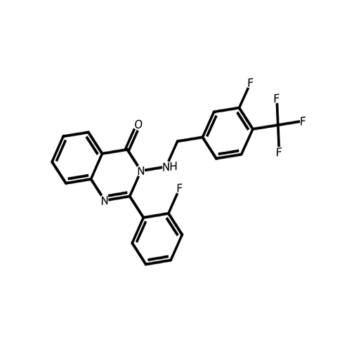 O=c1c2ccccc2nc(-c2ccccc2F)n1NCc1ccc(C(F)(F)F)c(F)c1